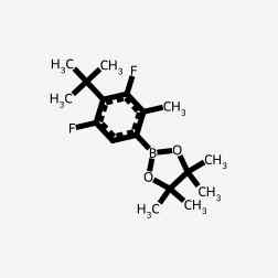 Cc1c(B2OC(C)(C)C(C)(C)O2)cc(F)c(C(C)(C)C)c1F